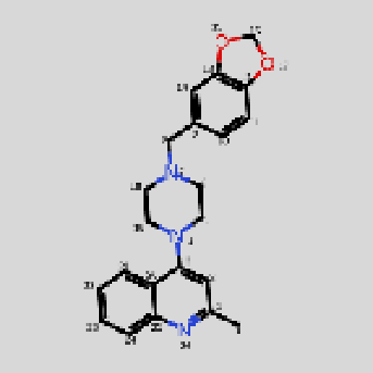 Cc1cc(N2CCN(Cc3ccc4c(c3)OCO4)CC2)c2ccccc2n1